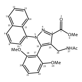 COC(=O)c1nn(-c2cccc3ccccc23)c(-c2c(OC)cccc2OC)c1CNC(C)=O